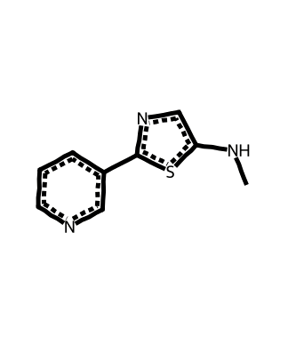 CNc1cnc(-c2cccnc2)s1